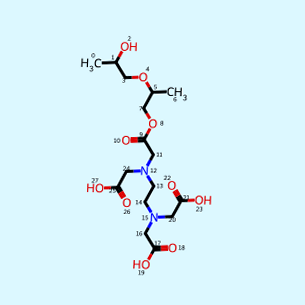 CC(O)COC(C)COC(=O)CN(CCN(CC(=O)O)CC(=O)O)CC(=O)O